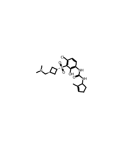 CC1=CCCC1NC(=O)Nc1ccc(Cl)c(S(=O)(=O)[C@H]2C[C@H](CN(C)C)C2)c1O